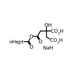 CCCCCCCC(=O)OC(=O)CC(O)(CC(=O)O)C(=O)O.[NaH]